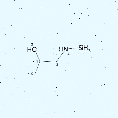 CC(O)CN[SiH3]